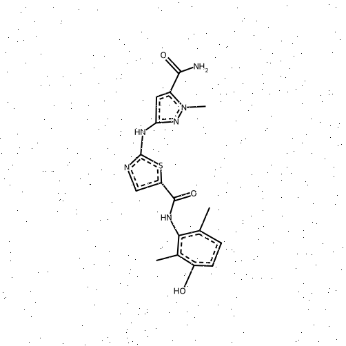 Cc1ccc(O)c(C)c1NC(=O)c1cnc(Nc2cc(C(N)=O)n(C)n2)s1